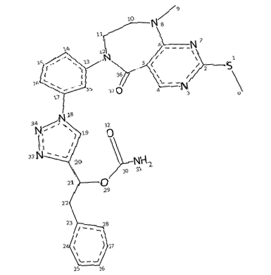 CSc1ncc2c(n1)N(C)CCN(c1cccc(-n3cc(C(Cc4ccccc4)OC(N)=O)nn3)c1)C2=O